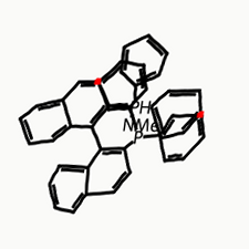 CN[PH](c1ccccc1)(c1ccccc1)c1ccc2ccccc2c1-c1c(P(c2ccccc2)c2ccccc2)ccc2ccccc12